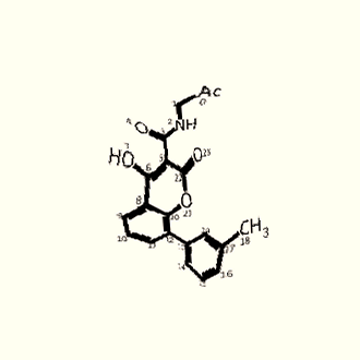 CC(=O)CNC(=O)c1c(O)c2cccc(-c3cccc(C)c3)c2oc1=O